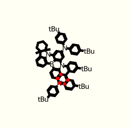 CC(C)(C)c1ccc(N(c2ccc(C(C)(C)C)cc2)c2ccc3c(c2)N(c2ccc(C(C)(C)C)cc2-c2ccccc2)c2cc(N(c4ccc(C(C)(C)C)cc4)c4ccc(C(C)(C)C)cc4)cc4c2B3c2cccc3c2N4C2(C)CCCCC32C)cc1